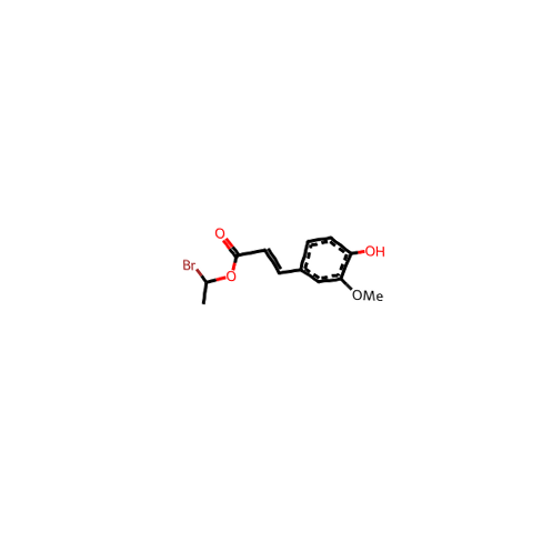 COc1cc(C=CC(=O)OC(C)Br)ccc1O